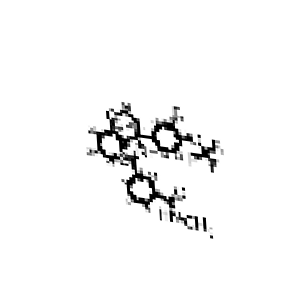 CNC(=O)c1cccc(C(=O)N[C@]2(c3ccc(OC(F)(F)F)c(F)c3)CCOc3cccnc32)c1